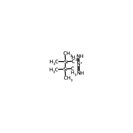 C[Si](C)(C)[Si](C)(C)C.N=[N+]=N